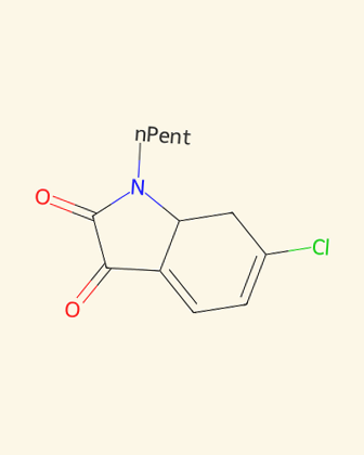 CCCCCN1C(=O)C(=O)C2=CC=C(Cl)CC21